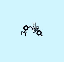 Cc1ccc(S(=O)(=O)N/N=C/c2cccc(C(F)F)c2)cc1